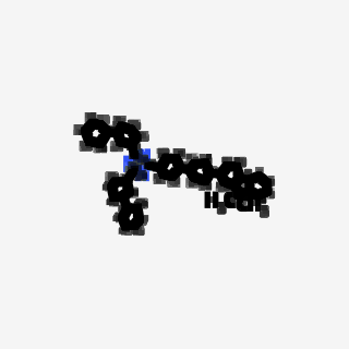 CC1(C)c2ccccc2-c2ccc(-c3ccc(-c4ccc(-c5nc(-c6cccc(-c7ccccc7)c6)nc(-c6cccc(-c7ccccc7)c6)n5)cc4)cc3)cc21